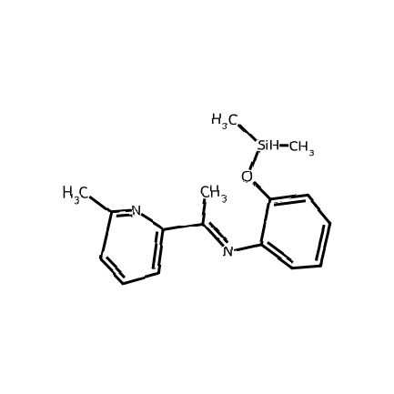 CC(=Nc1ccccc1O[SiH](C)C)c1cccc(C)n1